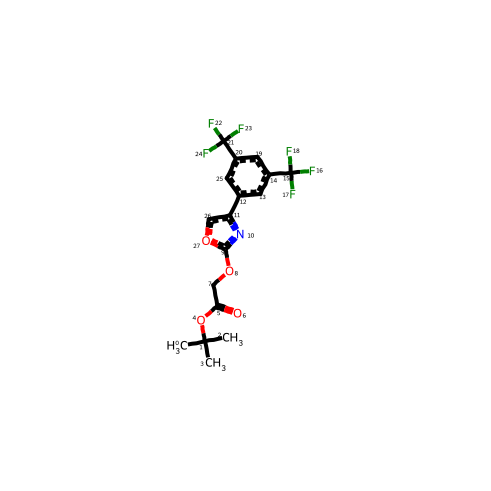 CC(C)(C)OC(=O)COc1nc(-c2cc(C(F)(F)F)cc(C(F)(F)F)c2)co1